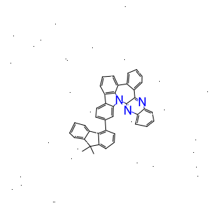 CC1(C)c2ccccc2-c2c(-c3ccc4c5cccc6c5n(c4c3)-c3nc4ccccc4nc3-c3ccccc3-6)cccc21